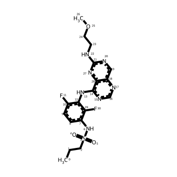 CCCS(=O)(=O)Nc1ccc(F)c(Nc2ncnc3cnc(NCCOC)nc23)c1F